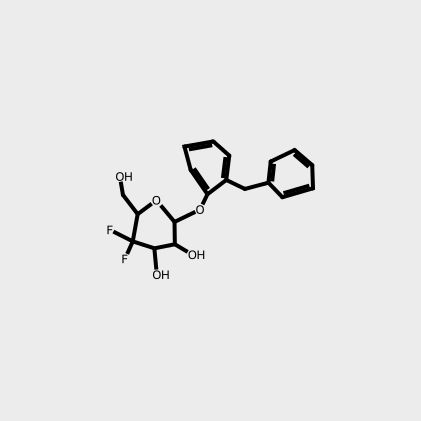 OCC1OC(Oc2ccccc2Cc2ccccc2)C(O)C(O)C1(F)F